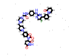 O=C1CCC(n2c(=O)oc3cc(N4CCC(CN5CCN(CC(=O)N[C@H]6CC[C@H](Nc7ncc(F)c(-c8cccc(-n9ccccc9=O)c8)n7)CC6)CC5)CC4)ccc32)C(=O)N1